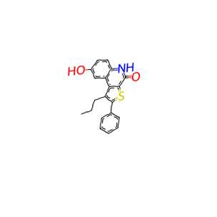 CCCc1c(-c2ccccc2)sc2c(=O)[nH]c3ccc(O)cc3c12